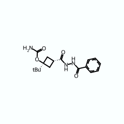 CC(C)(C)[C@]1(OC(N)=O)C[C@H](C(=O)NNC(=O)c2ccccc2)C1